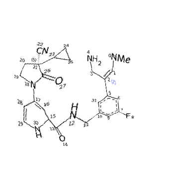 CN/C=C(\CN)c1cc(F)cc(CNC(=O)C2C=C(N3CC[C@@](C#N)(C4CC4)C3=O)C=CN2)c1